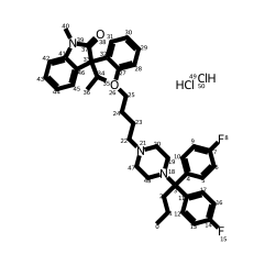 CCCC(c1ccc(F)cc1)(c1ccc(F)cc1)N1CCN(CCCCOc2ccccc2C2(C(C)C)C(=O)N(C)c3ccccc32)CC1.Cl.Cl